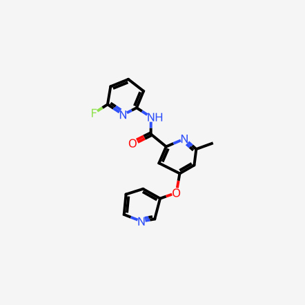 Cc1cc(Oc2cccnc2)cc(C(=O)Nc2cccc(F)n2)n1